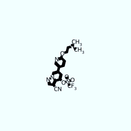 CN(C)CCOc1ccc(-c2cc(OS(=O)(=O)C(F)(F)F)c3c(C#N)cnn3c2)cn1